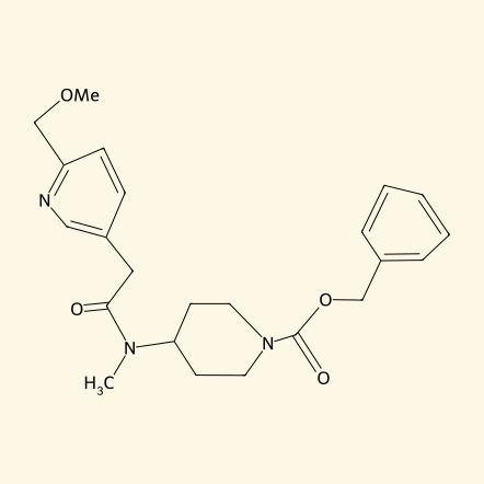 COCc1ccc(CC(=O)N(C)C2CCN(C(=O)OCc3ccccc3)CC2)cn1